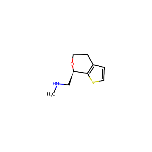 CNC[C@H]1OCCc2ccsc21